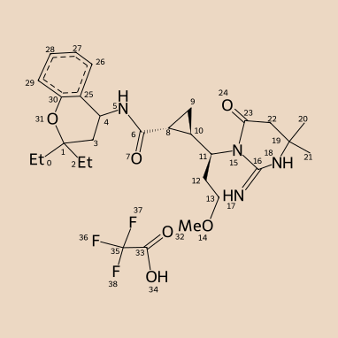 CCC1(CC)CC(NC(=O)[C@@H]2C[C@H]2[C@H](CCOC)N2C(=N)NC(C)(C)CC2=O)c2ccccc2O1.O=C(O)C(F)(F)F